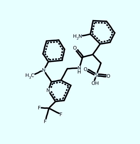 CN(c1ccccc1)c1nc(C(F)(F)F)ccc1CNC(=O)C(CS(=O)(=O)O)c1ccccc1N